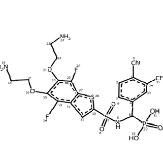 N#Cc1ccc(C(NS(=O)(=O)c2cc3c(F)c(OCCN)c(OCCN)c(F)c3s2)P(=O)(O)O)cc1C(F)(F)F